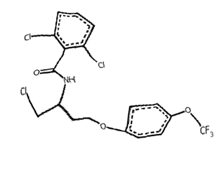 O=C(NC(CCl)CCOc1ccc(OC(F)(F)F)cc1)c1c(Cl)cccc1Cl